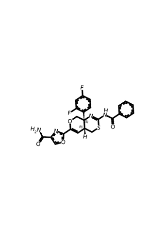 NC(=O)c1coc(C2=C[C@H]3CSC(NC(=O)c4ccccc4)=N[C@@]3(c3ccc(F)cc3F)CO2)n1